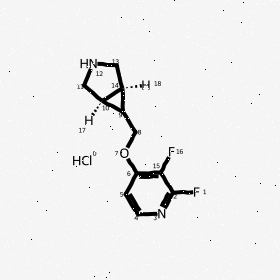 Cl.Fc1nccc(OCC2[C@H]3CNC[C@@H]23)c1F